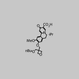 CCCCOCC1(COc2cc3c(cc2OC)-c2cc(=O)c(C(=O)O)cn2[C@H](C(C)C)C3)COC1